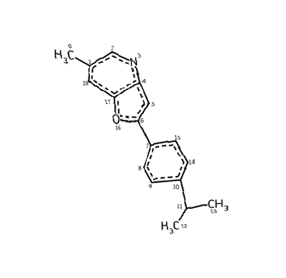 Cc1cnc2cc(-c3ccc(C(C)C)cc3)oc2c1